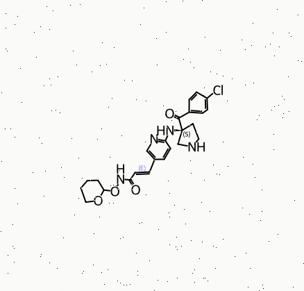 O=C(/C=C/c1ccc(N[C@@]2(C(=O)c3ccc(Cl)cc3)CCNC2)nc1)NOC1CCCCO1